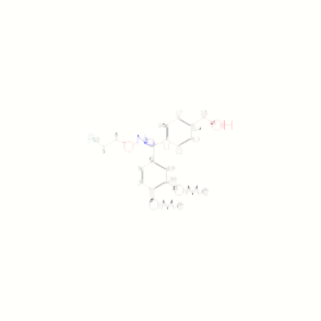 COc1ccc(/C(=N\OCCF)c2ccc(CO)cc2)cc1OC